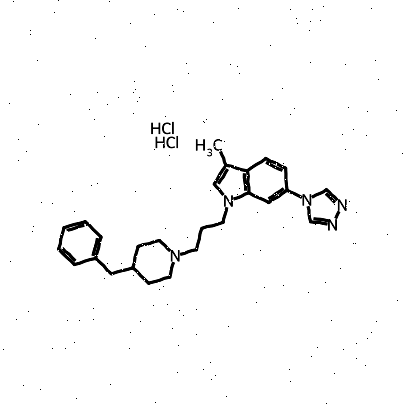 Cc1cn(CCCN2CCC(Cc3ccccc3)CC2)c2cc(-n3cnnc3)ccc12.Cl.Cl